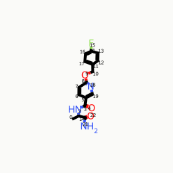 CC(NC(=O)c1ccc(OCc2ccc(F)cc2)nc1)C(N)=O